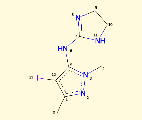 Cc1nn(C)c(NC2=NCCN2)c1I